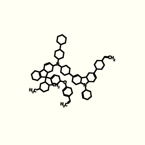 C=CC1=CC=C(OC2CC=C(C3(C4CC(C)CCC4C)C4=C(CCCC4)C4C=CC(N(C5CCC(C6=CC7C8CC(C9CCC(C=C)CC9)=CCC8N(C8C=CCCC8)C7CC6)CC5)C5CCC(C6CCCCC6)CC5)CC43)CC2)CC1